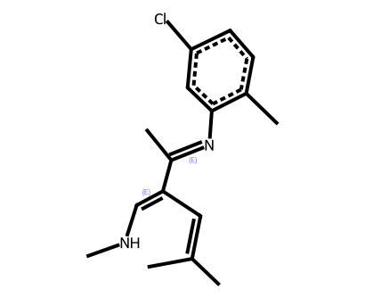 CN/C=C(C=C(C)C)/C(C)=N/c1cc(Cl)ccc1C